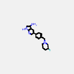 Nc1c[nH]c2ncc(-c3ccc(CN4CCCC(F)C4)cc3)cc12